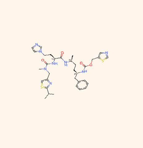 CC(C)c1nc(CN(C)C(=O)N[C@@H](CCn2ccnc2)C(=O)N[C@@H](C)CC[C@H](Cc2ccccc2)NC(=O)OCc2cncs2)cs1